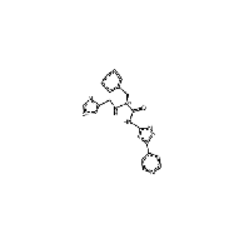 O=C(Nc1nnc(-c2ccncc2)s1)[C@H](Cc1ccccc1)NCc1cscn1